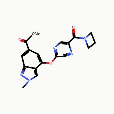 COC(=O)c1cc(Oc2cnc(C(=O)N3CCC3)cn2)c2cn(C)nc2c1